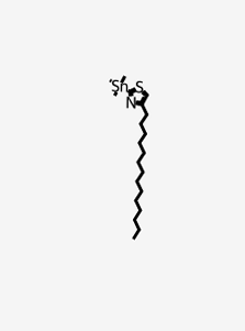 CCCCCCCCCCCCCCc1cs[c]([Sn]([CH3])([CH3])[CH3])n1